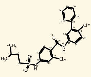 CC(C)CCS(=O)(=O)Nc1ccc(C(=O)Nc2ccc(Cl)c(-c3ccccn3)c2)c(Cl)c1